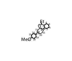 CCC(=O)c1ccccc1N1CCN(c2ccc(OC)cc2)CC1